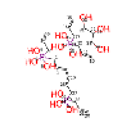 C=CCP(O)(O)(O)CC=C.C=CCP(O)(O)(O)CC=C.C=CCP(O)(O)(O)CC=C.OCC(O)CO